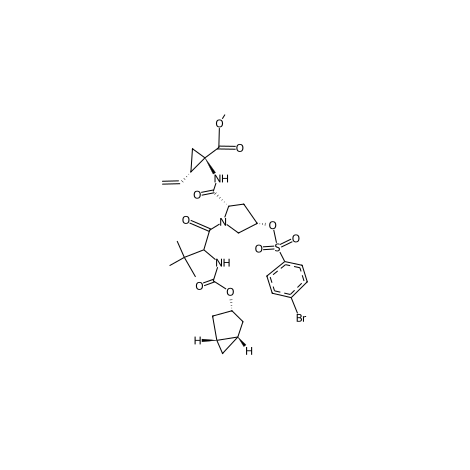 C=C[C@@H]1C[C@]1(NC(=O)[C@@H]1C[C@H](OS(=O)(=O)c2ccc(Br)cc2)CN1C(=O)C(NC(=O)O[C@@H]1C[C@@H]2C[C@@H]2C1)C(C)(C)C)C(=O)OC